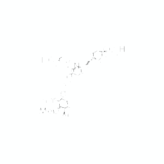 CCCc1c(OCCCOc2ccc(C#Cc3ccc(C(=O)O)cc3)nc2CCC(=O)O)ccc(C(C)=O)c1OC